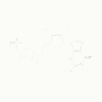 C[C@@H](OP(=O)(O)OP(=O)(O)OP(=O)(O)O)[C@H]1O[C@@H](n2cnc3c(=O)[nH]c(N)nc32)[C@@H](O)[C@H]1O